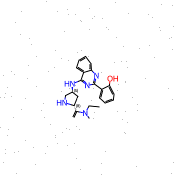 C=C([C@H]1C[C@H](Nc2nc(-c3ccccc3O)nc3ccccc23)CN1)N(C)CC